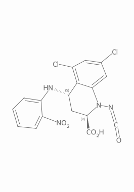 O=C=NN1c2cc(Cl)cc(Cl)c2[C@@H](Nc2ccccc2[N+](=O)[O-])C[C@@H]1C(=O)O